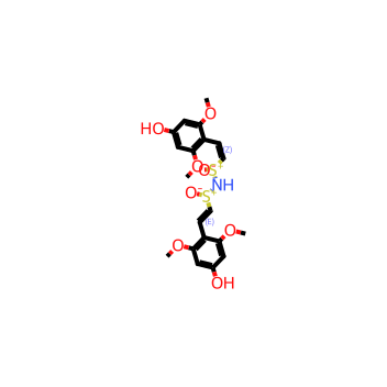 COc1cc(O)cc(OC)c1/C=C\[S+]([O-])N[S+]([O-])/C=C/c1c(OC)cc(O)cc1OC